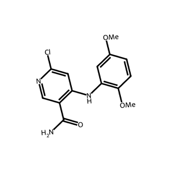 COc1ccc(OC)c(Nc2cc(Cl)ncc2C(N)=O)c1